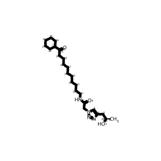 C[C@@H](O)Cc1cn(CC(=O)NCCCCCCCCCCC(=O)C2CCCCC2)nn1